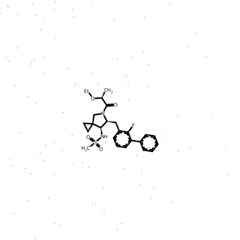 CCO[C@@H](C)C(=O)N1CC2(CC2)[C@H](NS(C)(=O)=O)[C@@H]1Cc1cccc(-c2ccccc2)c1F